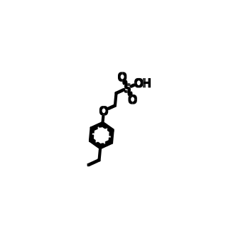 CCc1ccc(OCCS(=O)(=O)O)cc1